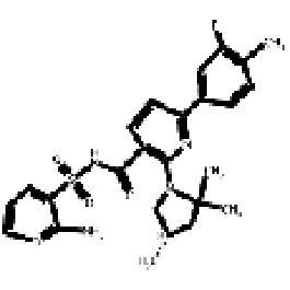 Cc1ccc(-c2ccc(C(=O)NS(=O)(=O)c3cccnc3N)c(N3C[C@@H](C)CC3(C)C)n2)cc1F